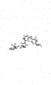 Cc1nc(N)ccc1Oc1ccnc(-c2cnn(CCO[Si](C)(C)C(C)(C)C)c2)c1